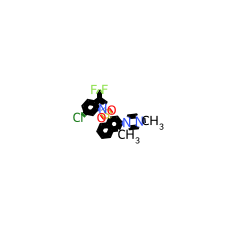 Cc1c(N2CCN(C)CC2)cc(S(=O)(=O)n2cc(C(F)F)c3ccc(Cl)cc32)c2ccccc12